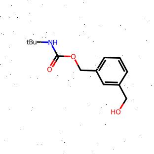 CC(C)(C)NC(=O)OCc1cccc(CO)c1